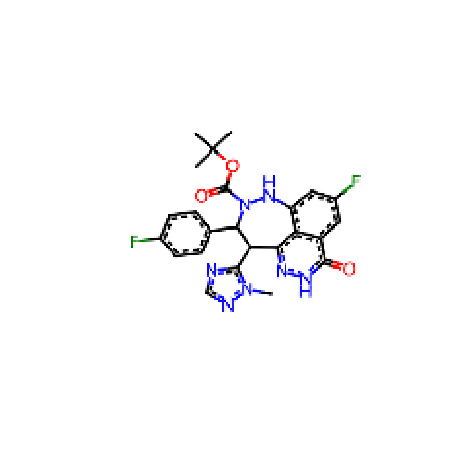 Cn1ncnc1C1c2n[nH]c(=O)c3cc(F)cc(c23)NN(C(=O)OC(C)(C)C)C1c1ccc(F)cc1